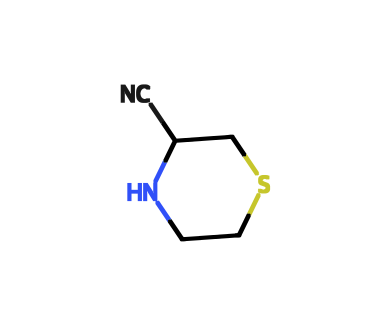 N#CC1CSCCN1